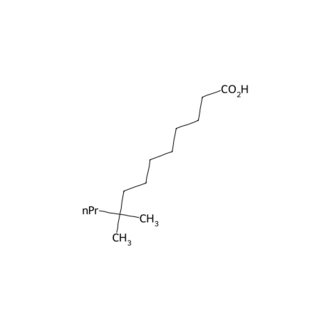 CCCC(C)(C)CCCCCCCC(=O)O